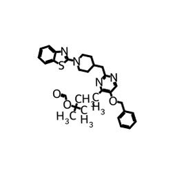 CC(C)(C)OC=O.Cc1nc(CC2CCN(c3nc4ccccc4s3)CC2)ncc1OCc1ccccc1